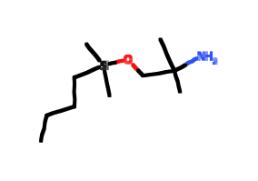 CCCC[Si](C)(C)OCC(C)(C)N